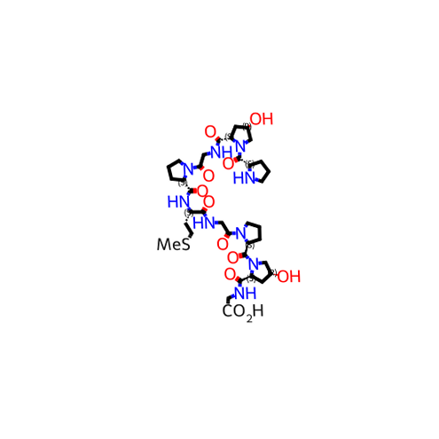 CSCC[C@H](NC(=O)[C@@H]1CCCN1C(=O)CNC(=O)[C@@H]1C[C@@H](O)CN1C(=O)[C@@H]1CCCN1)C(=O)NCC(=O)N1CCC[C@H]1C(=O)N1C[C@H](O)C[C@H]1C(=O)NCC(=O)O